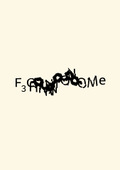 COc1ccc2c(Oc3cccc(-c4nnc(Nc5cccc(C(F)(F)F)c5)[nH]4)c3)ccnc2c1